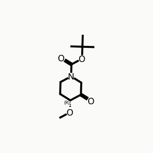 CO[C@@H]1CCN(C(=O)OC(C)(C)C)CC1=O